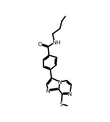 CCCCNC(=O)c1ccc(-c2cnc3c(SC)nccn23)cc1